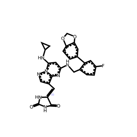 O=C1NC(=O)/C(=C/c2cnn3c(NC4CC4)cc(NCc4ccc(F)cc4-c4ccc5c(c4)OCO5)nc23)N1